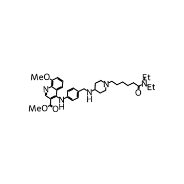 CCN(CC)C(=O)CCCCCN1CCC(NCc2ccc(Nc3c(C(=O)OC)cnc4c(OC)cccc34)cc2)CC1